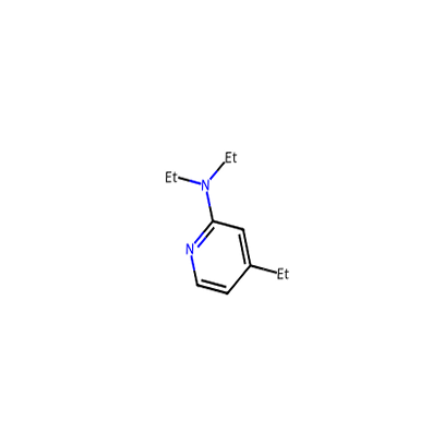 CCc1ccnc(N(CC)CC)c1